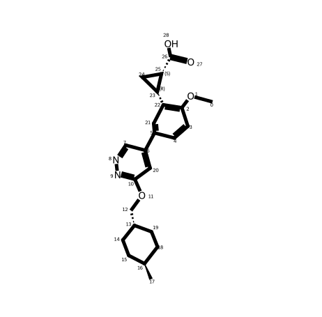 COc1ccc(-c2cnnc(OC[C@H]3CC[C@H](C)CC3)c2)cc1[C@@H]1C[C@@H]1C(=O)O